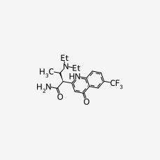 CCN(CC)C(C)[C@H](C(N)=O)c1cc(=O)c2cc(C(F)(F)F)ccc2[nH]1